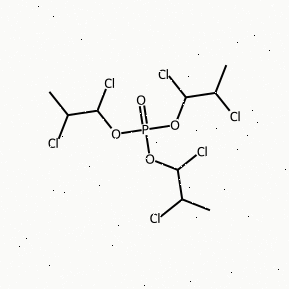 CC(Cl)C(Cl)OP(=O)(OC(Cl)C(C)Cl)OC(Cl)C(C)Cl